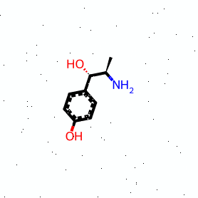 C[C@@H](N)[C@@H](O)c1ccc(O)cc1